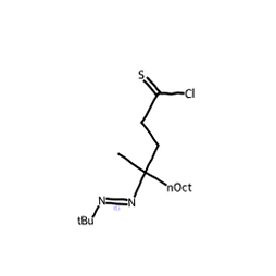 CCCCCCCCC(C)(CCC(=S)Cl)/N=N/C(C)(C)C